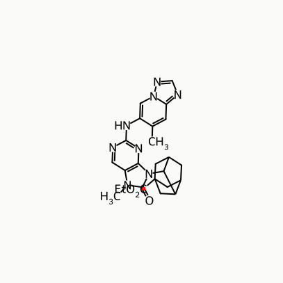 CCOC(=O)C12CC3CC(C1)C(n1c(=O)n(C)c4cnc(Nc5cn6ncnc6cc5C)nc41)C3C2